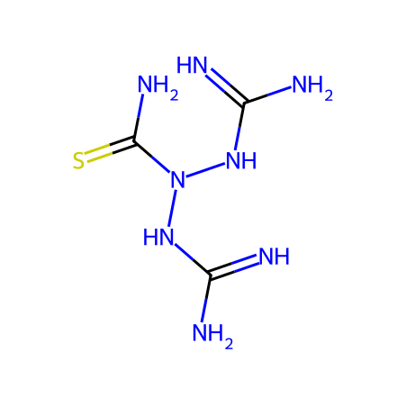 N=C(N)NN(NC(=N)N)C(N)=S